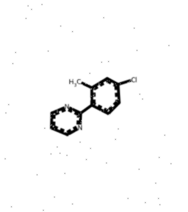 Cc1cc(Cl)ccc1-c1ncccn1